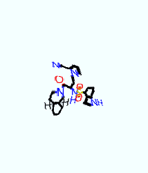 N#Cc1cccn1CCC(NS(=O)(=O)c1cccc2[nH]ccc12)C(=O)N1CC[C@@H]2CCCC[C@@H]2C1